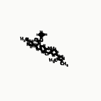 Cc1ncc(-c2ccc(Nc3cc4c(cn3)cc(-c3cnn(C)c3)n4C(=O)OC3=CC=C3)c(Cl)c2)n1C